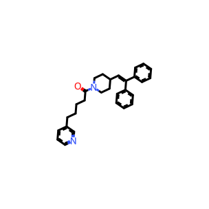 O=C(CCCCc1cccnc1)N1CCC(C=C(c2ccccc2)c2ccccc2)CC1